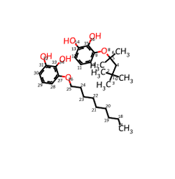 CC(C)(C)CC(C)(C)Oc1cccc(O)c1O.CCCCCCCCCOc1cccc(O)c1O